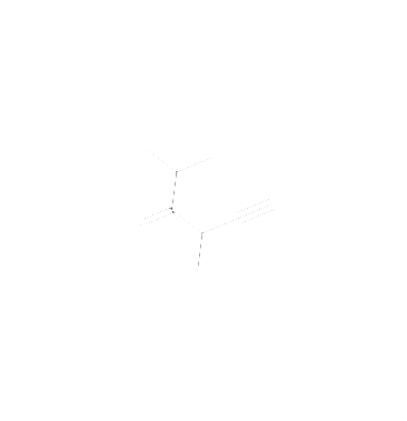 C#CC(C)C(=O)C(C)C